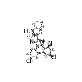 NC1CCCCC1Cc1ncnc2c1nc(-c1ccc(Cl)cc1Cl)n2-c1ccc(Cl)cc1